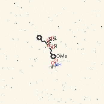 CCCNC(=O)Oc1ccc(CCC[Si](C)(O[Si](C)(C)C)O[Si](C)(CCCc2ccccc2)O[Si](C)(C)O[Si](C)(C)C)cc1OC